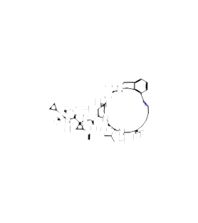 C=C[C@@H]1C[C@]1(NC(=O)[C@@H]1C[C@@H]2CN1C(=O)[C@H](C(C)C)NCC(F)(F)CCC/C=C/c1cccc3c1CN(C3)C(=O)O2)C(=O)NS(=O)(=O)C1CC1